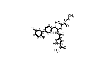 CCOC(=O)C(O)CC(Cc1ccc(-c2cc(Cl)ccc2F)cc1)NC(=O)c1cc(C(C)=O)[nH]n1